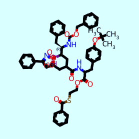 CC(C)(C)Oc1ccc(CC(NC(=O)C(Cc2cc(-c3ccccc3)no2)CC([C@@H](Cc2ccccc2)NC(=O)OCc2ccccc2)[PH](=O)O)C(=O)OCCSC(=O)c2ccccc2)cc1